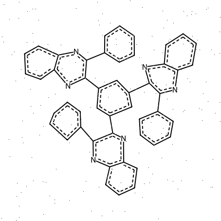 c1ccc(-c2nc3ccccc3nc2-c2cc(-c3nc4ccccc4nc3-c3ccccc3)cc(-c3nc4ccccc4nc3-c3ccccc3)c2)cc1